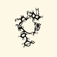 Cn1nc2nc1-c1cc(ccc1F)Oc1c(F)cc3[nH]ccc3c1CCS(=O)(=O)CC(C)(C)CCCC2(C)c1cccc(/C=C2\CCOC2=O)c1